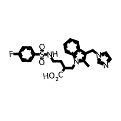 Cc1c(Cn2ccnc2)c2ccccc2n1CC(CCNS(=O)(=O)c1ccc(F)cc1)C(=O)O